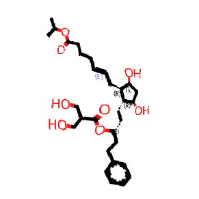 CC(C)OC(=O)CCC/C=C/C[C@@H]1[C@@H](CC[C@H](CCc2ccccc2)OC(=O)C(CO)CO)[C@H](O)C[C@@H]1O